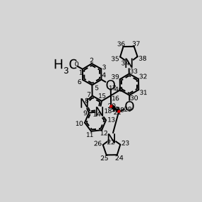 Cc1ccc2c(c1)-c1nc3ccccn3c1C1(O2)c2ccc(N3CCCC3)cc2Oc2ccc(N3CCCC3)cc21